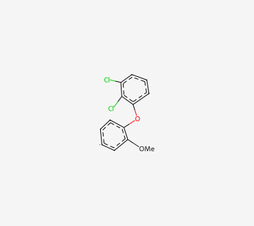 COc1c[c]ccc1Oc1cccc(Cl)c1Cl